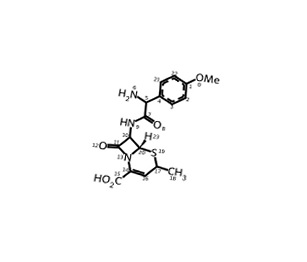 COc1ccc(C(N)C(=O)NC2C(=O)N3C(C(=O)O)=CC(C)S[C@@H]23)cc1